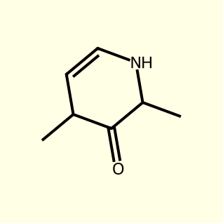 CC1C=CNC(C)C1=O